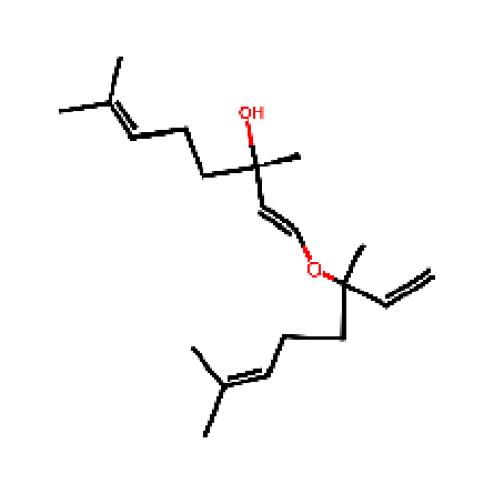 C=CC(C)(CCC=C(C)C)OC=C[C@@](C)(O)CCC=C(C)C